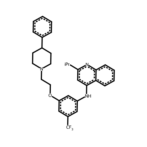 CC(C)c1cc(Nc2cc(OCCN3CCC(c4ccccc4)CC3)cc(C(F)(F)F)c2)c2ccccc2n1